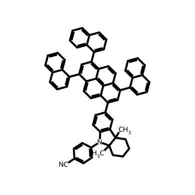 CC12CCCCC1(C)N(c1ccc(C#N)cc1)c1ccc(-c3cc(-c4cccc5ccccc45)c4ccc5c(-c6cccc7ccccc67)cc(-c6cccc7ccccc67)c6ccc3c4c65)cc12